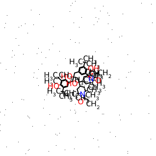 C=CC(=O)N1C(C)(C)CC(C(O)(CC(O)(Cc2cc(C(C)(C)C)c(O)c(C(C)(C)C)c2)Cc2cc(C(C)(C)C)c(O)c(C(C)(C)C)c2)C2CC(C)(C)N(C(=O)C=C)C(C)(C)C2)CC1(C)C